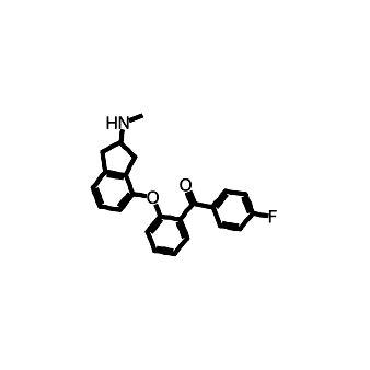 CNC1Cc2cccc(Oc3ccccc3C(=O)c3ccc(F)cc3)c2C1